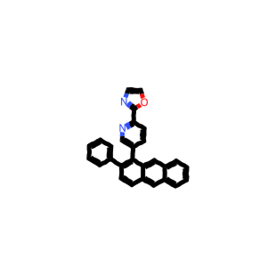 c1ccc(-c2ccc3cc4ccccc4cc3c2-c2ccc(-c3ncco3)nc2)cc1